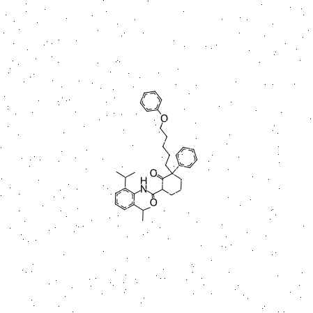 CC(C)c1cccc(C(C)C)c1NC(=O)C1CCCC(CCCCCOc2ccccc2)(c2ccccc2)C1=O